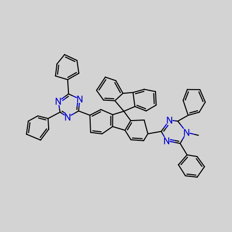 CN1C(c2ccccc2)=NC(C2C=CC3=C(C2)C2(c4cc(-c5nc(-c6ccccc6)nc(-c6ccccc6)n5)ccc43)c3ccccc3-c3ccccc32)=NC1c1ccccc1